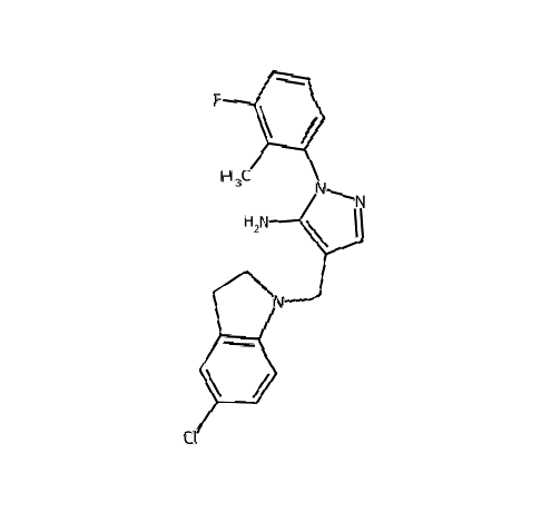 Cc1c(F)cccc1-n1ncc(CN2CCc3cc(Cl)ccc32)c1N